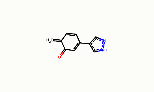 C=C1C=CC(c2cn[nH]c2)=CC1=O